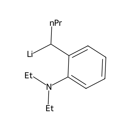 [Li][CH](CCC)c1ccccc1N(CC)CC